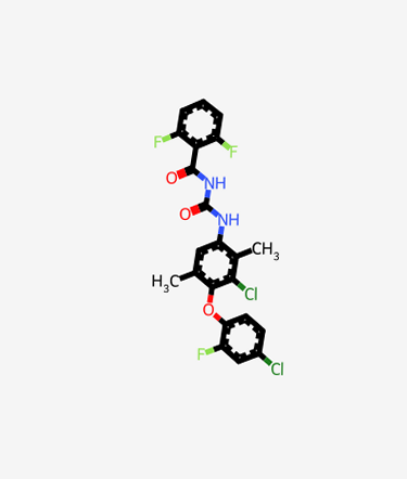 Cc1cc(NC(=O)NC(=O)c2c(F)cccc2F)c(C)c(Cl)c1Oc1ccc(Cl)cc1F